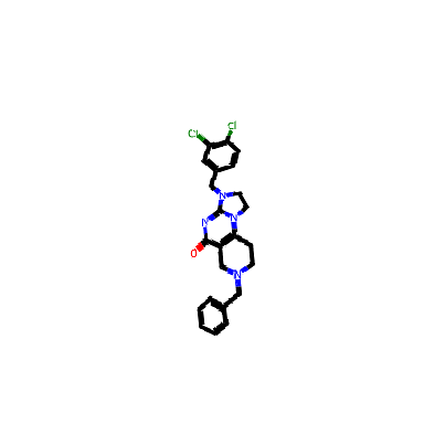 O=c1nc2n(c3c1CN(Cc1ccccc1)CC3)CCN2Cc1ccc(Cl)c(Cl)c1